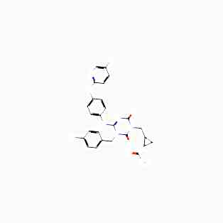 O=C(O)[C@H]1CC1Cn1c(=O)nc(Nc2ccc(Oc3ccc(F)cn3)cc2)n(Cc2ccc(Cl)cc2)c1=O